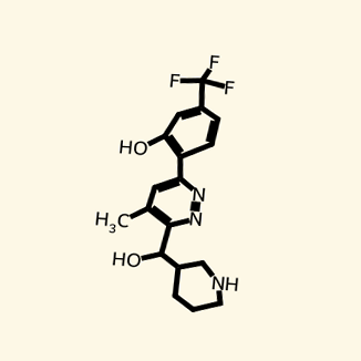 Cc1cc(-c2ccc(C(F)(F)F)cc2O)nnc1C(O)C1CCCNC1